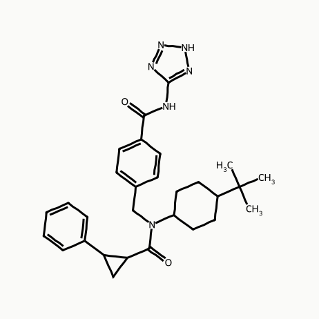 CC(C)(C)C1CCC(N(Cc2ccc(C(=O)Nc3nn[nH]n3)cc2)C(=O)C2CC2c2ccccc2)CC1